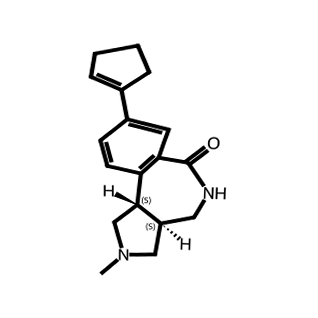 CN1C[C@@H]2CNC(=O)c3cc(C4=CCCC4)ccc3[C@H]2C1